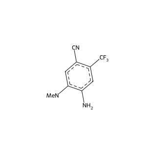 CNc1cc(C#N)c(C(F)(F)F)cc1N